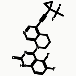 CC(F)(F)C1(C#Cc2cncc3c2CCCN3c2nc(=O)[nH]c3ccc(F)c(F)c23)CC1